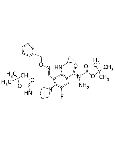 CC(C)(C)OC(=O)NC1CCN(c2c(F)cc(C(=O)N(N)C(=O)OC(C)(C)C)c(NC3CC3)c2C=NOCc2ccccc2)C1